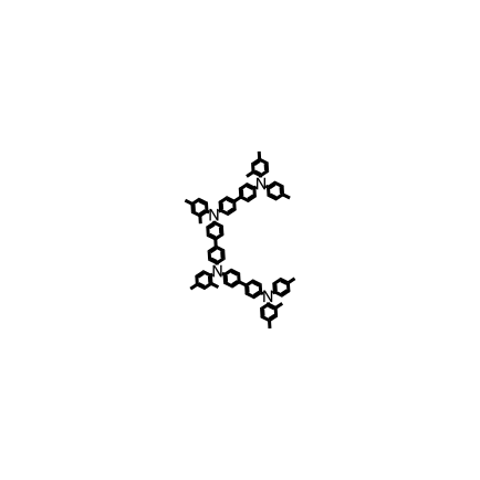 Cc1ccc(N(c2ccc(-c3ccc(N(c4ccc(-c5ccc(N(c6ccc(-c7ccc(N(c8ccc(C)cc8)c8ccc(C)cc8C)cc7)cc6)c6ccc(C)cc6C)cc5)cc4)c4ccc(C)cc4C)cc3)cc2)c2ccc(C)cc2C)cc1